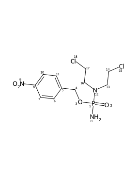 NP(=O)(OCc1ccc([N+](=O)[O-])cc1)N(CCCl)CCCl